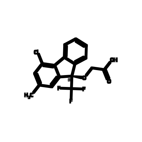 Cc1cc(Cl)c2c(c1)[C@@](OCC(=O)O)(C(F)(F)F)c1ccccc1-2